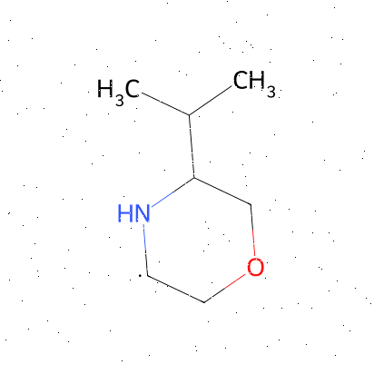 CC(C)C1COC[CH]N1